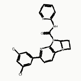 O=C(Nc1ccccn1)N1c2nc(-c3cc(Cl)cc(Cl)c3)ccc2N2CCC21